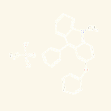 C[n+]1c2ccccc2c(-c2ccccc2)c2cc(Oc3ccccc3)ccc21.O=S(=O)([O-])C(F)(F)F